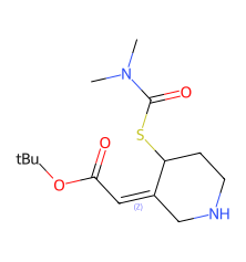 CN(C)C(=O)SC1CCNC/C1=C/C(=O)OC(C)(C)C